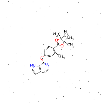 Cc1cc(Oc2nccc3cc[nH]c23)ccc1B1OC(C)(C)C(C)(C)O1